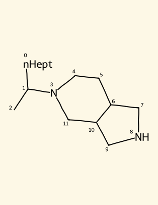 CCCCCCCC(C)N1CCC2CNCC2C1